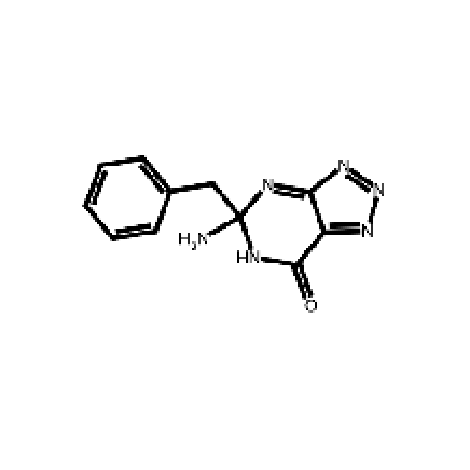 NC1(Cc2ccccc2)N=C2N=NN=C2C(=O)N1